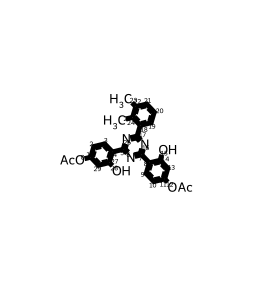 CC(=O)Oc1ccc(-c2nc(-c3ccc(OC(C)=O)cc3O)nc(-c3cccc(C)c3C)n2)c(O)c1